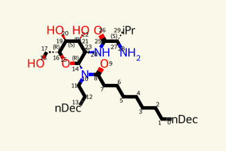 CCCCCCCCCCCCCCCCCC(=O)N(CCCCCCCCCCCC)[C@@H]1O[C@H](CO)[C@@H](O)[C@H](O)[C@H]1NC(=O)[C@@H](N)C(C)C